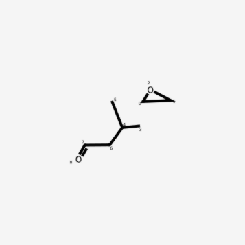 C1CO1.CC(C)CC=O